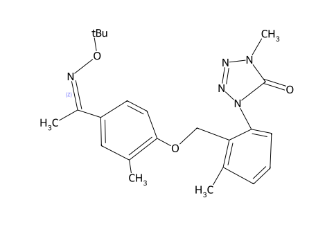 C/C(=N/OC(C)(C)C)c1ccc(OCc2c(C)cccc2-n2nnn(C)c2=O)c(C)c1